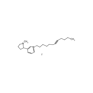 CCCCC#CCCCCCC[n+]1cccc(C2CCCN2C)c1.[I-]